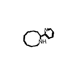 c1ccc(C2CCCCCCCCN2)nc1